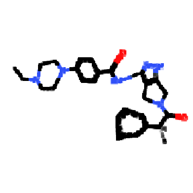 CCN1CCN(c2ccc(C(=O)Nc3n[nH]c4c3CN(C(=O)[C@H](C)c3ccccc3)C4)cc2)CC1